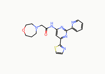 O=C(CN1CCCOCC1)Nc1cc(-c2nccs2)nc(-c2ccccn2)n1